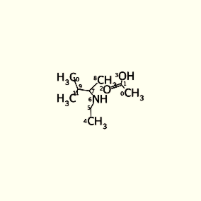 CC(=O)O.CCNC(C)C(C)C